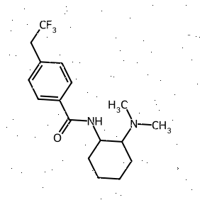 CN(C)C1CCCCC1NC(=O)c1ccc(CC(F)(F)F)cc1